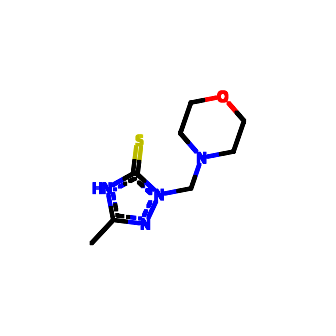 Cc1nn(CN2CCOCC2)c(=S)[nH]1